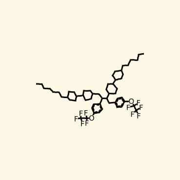 CCCCCCCC1CCC(C2CCC(CC(c3ccc(OC(F)(F)C(F)(F)F)cc3)C(Cc3ccc(OC(F)(F)C(F)(F)F)cc3)C3CCC(C4CCC(CCCCCC)CC4)CC3)CC2)CC1